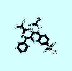 CS(=O)(=O)c1ccc([C@@H](OC(=O)O)[C@H](NC(=O)C(Cl)Cl)C(F)Cc2ccccc2)cc1